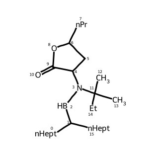 CCCCCCCC(BN(C1CC(CCC)OC1=O)C(C)(C)CC)CCCCCCC